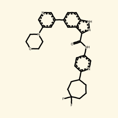 O=C(Nc1ccc(C2CCCC(F)(F)CC2)nc1)c1n[nH]c2ccc(-c3cncc(N4CCOCC4)c3)cc12